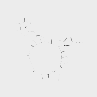 CC[C@H](C)[C@H]1NC(=O)[C@@H](NC(=O)[C@@H](CC(C)C)N2CCC3(CCCN3C(=O)C(C)=O)C2=O)[C@@H](C)OC(=O)[C@H](Cc2ccc(OC)cc2)N(C)C(=O)[C@@H]2CCCN2C(=O)[C@H](CC(C)C)NC(=O)[C@H](C(C)C)OC(=O)C[C@@H]1O